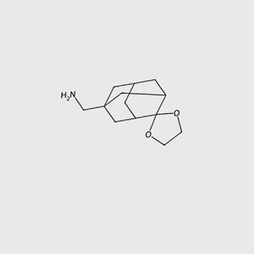 NCC12CC3CC(C1)C1(OCCO1)C(C3)C2